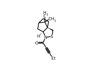 CCC#CC(=O)N1SC[C@@]23CCC(C[C@H]12)C3(C)C